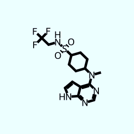 CN(c1ncnc2[nH]ccc12)C1CCC(S(=O)(=O)NCC(F)(F)F)CC1